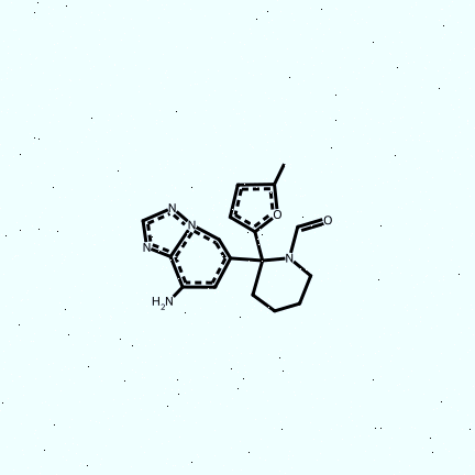 Cc1ccc(C2(c3cc(N)c4ncnn4c3)CCCCN2C=O)o1